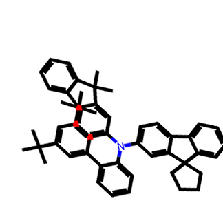 CC(C)(C)c1cc(-c2ccccc2N(c2ccc3c(c2)C(C)(C)c2ccccc2-3)c2ccc3c(c2)C2(CCCC2)c2ccccc2-3)cc(C(C)(C)C)c1